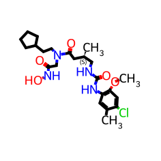 COc1cc(Cl)c(C)cc1NC(=O)NC[C@@H](C)CC(=O)N(CCC1CCCC1)CC(=O)NO